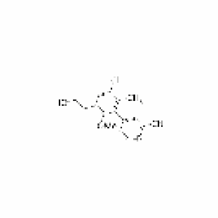 COc1c(CCO)cc(Cl)c(C)c1-c1ccnc(C#N)c1